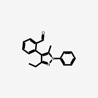 CCc1nn(-c2ccccc2)c(C)c1-c1ccccc1C=O